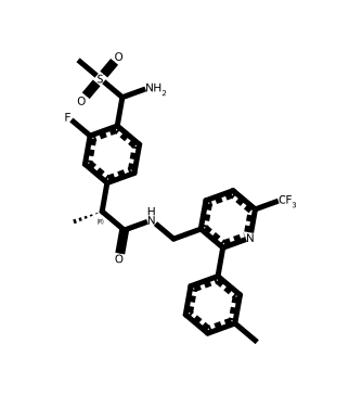 Cc1cccc(-c2nc(C(F)(F)F)ccc2CNC(=O)[C@H](C)c2ccc(C(N)S(C)(=O)=O)c(F)c2)c1